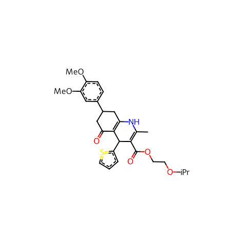 COc1ccc(C2CC(=O)C3=C(C2)NC(C)=C(C(=O)OCCOC(C)C)C3c2cccs2)cc1OC